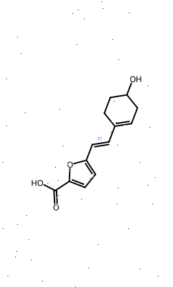 O=C(O)c1ccc(/C=C/C2=CCC(O)CC2)o1